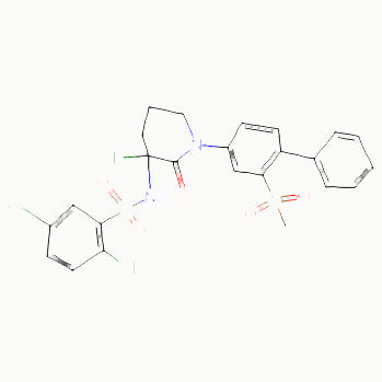 CS(=O)(=O)c1cc(N2CCCC(F)(NS(=O)(=O)c3cc(Cl)ccc3Cl)C2=O)ccc1-c1ccccc1